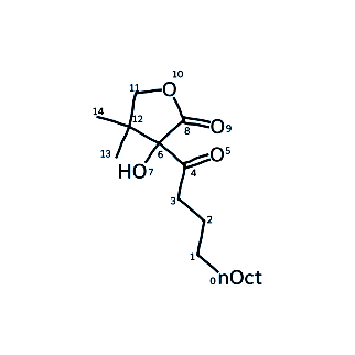 CCCCCCCCCCCC(=O)C1(O)C(=O)OCC1(C)C